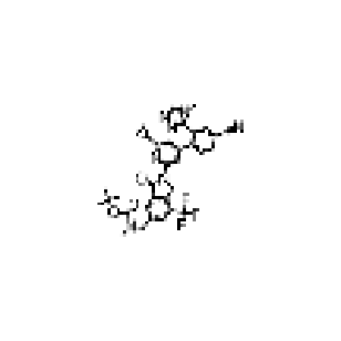 CN(Cc1cc2c(c(C(F)(F)F)c1)CN(c1cc(-c3ccc(C#N)cc3-c3nncn3C)cc(C3CC3)n1)C2=O)C(=O)OC(C)(C)C